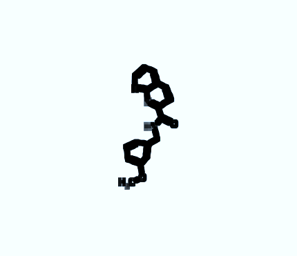 COc1cccc(CNC(=O)c2ccc3cccnc3n2)c1